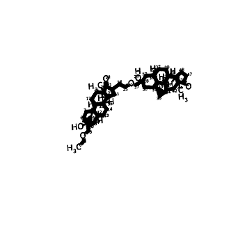 CCOC[C@]1(O)CC[C@@]2(C3CC3)[C@H](CC[C@@H]3[C@@H]2CC[C@]2(C)C(=O)C(CCOC[C@@]4(O)CC[C@@]5(C6CC6)[C@H](CC[C@@H]6[C@@H]5CC[C@]5(C)C(=O)CC[C@@H]65)C4)C[C@@H]32)C1